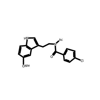 COc1ccc2[nH]cc(CCN(C(C)=O)C(=O)c3ccc(Cl)cc3)c2c1